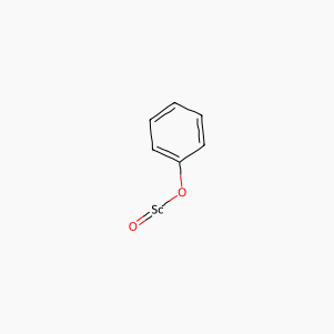 [O]=[Sc][O]c1ccccc1